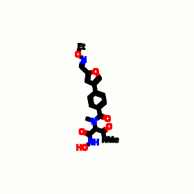 CCO/N=C/c1cc(-c2ccc(C(=O)N(C)C(C(=O)NC)C(=O)NO)cc2)co1